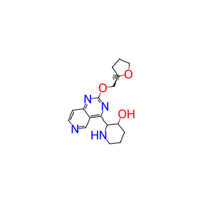 OC1CCCNC1c1nc(OC[C@H]2CCCO2)nc2ccncc12